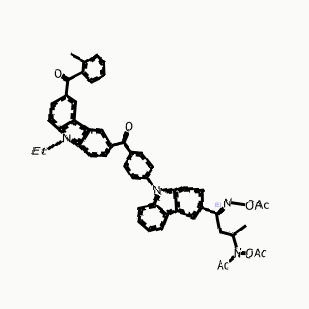 CCn1c2ccc(C(=O)c3ccc(-n4c5ccccc5c5cc(/C(CC(C)N(OC(C)=O)C(C)=O)=N/OC(C)=O)ccc54)cc3)cc2c2cc(C(=O)c3ccccc3C)ccc21